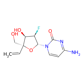 C=C[C@]1(CO)O[C@@H](n2ccc(N)nc2=O)[C@H](F)[C@@H]1O